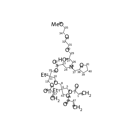 C=CC(=O)OCC(CC)(COCC(CC)(COC(=O)C=C)COC(=O)CCN(CC(O)COCCOCCOC)CC1CCCO1)COC(=O)C=C